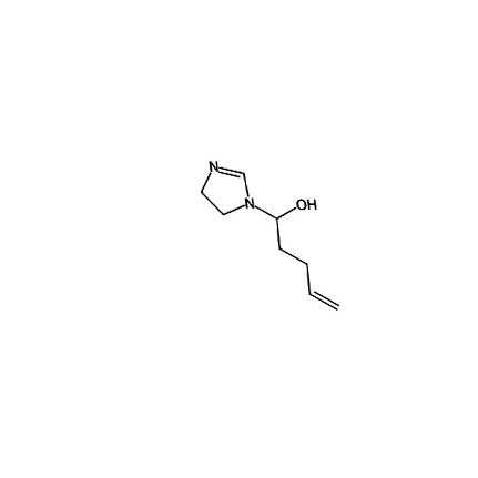 C=CCCC(O)N1C=NCC1